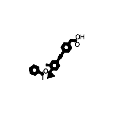 Cc1cc(C#Cc2ccc(CC(=O)O)cc2)ccc1C1(OC(I)c2ccccc2)CC1